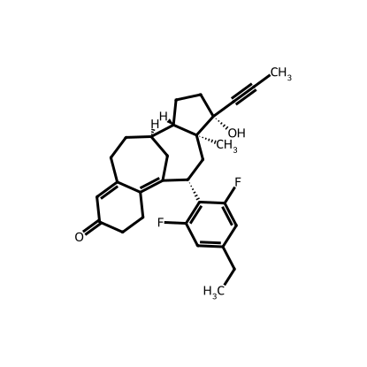 CC#C[C@]1(O)CC[C@H]2[C@@H]3CCC4=CC(=O)CCC4=C(C3)[C@@H](c3c(F)cc(CC)cc3F)C[C@@]21C